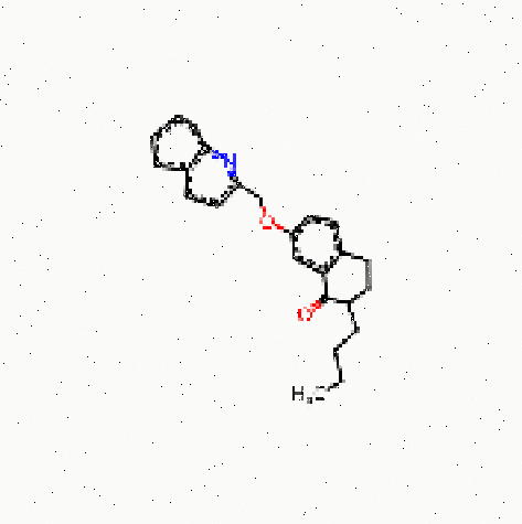 CCCCC1CCc2ccc(OCc3ccc4ccccc4n3)cc2C1=O